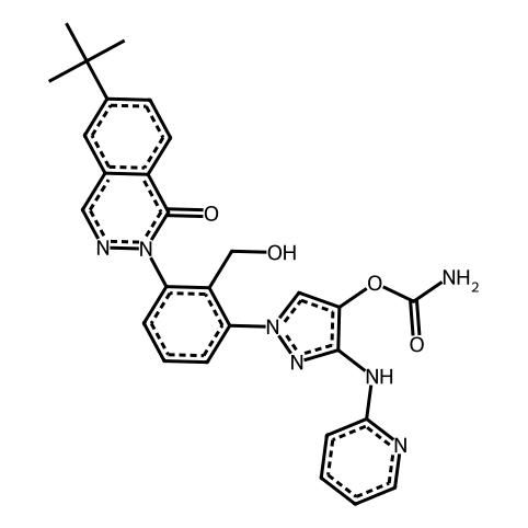 CC(C)(C)c1ccc2c(=O)n(-c3cccc(-n4cc(OC(N)=O)c(Nc5ccccn5)n4)c3CO)ncc2c1